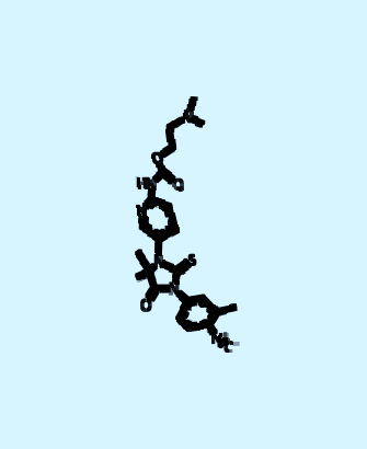 [C-]#[N+]c1ccc(N2C(=O)C(C)(C)N(c3ccc(NC(=O)OCCN(C)C)nc3)C2=S)cc1C